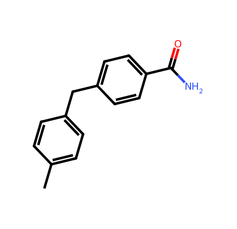 Cc1ccc(Cc2ccc(C(N)=O)cc2)cc1